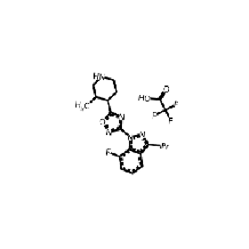 CC(C)c1nn(-c2noc(C3CCNCC3C)n2)c2c(F)cccc12.O=C(O)C(F)(F)F